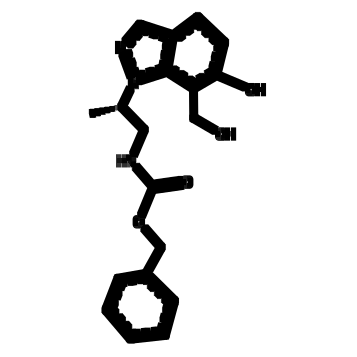 C[C@@H](CNC(=O)OCc1ccccc1)n1ncc2ccc(O)c(CO)c21